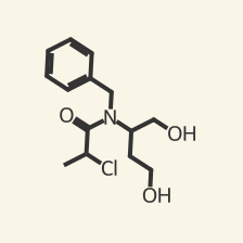 CC(Cl)C(=O)N(Cc1ccccc1)C(CO)CCO